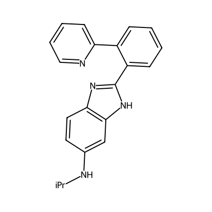 CC(C)Nc1ccc2nc(-c3ccccc3-c3ccccn3)[nH]c2c1